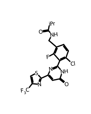 CC(C)C(=O)NCc1ccc(Cl)c(-c2nc(-c3nc(C(F)(F)F)cs3)cc(=O)[nH]2)c1F